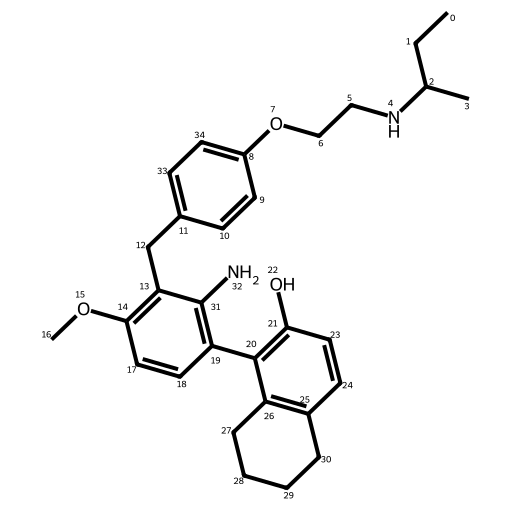 CCC(C)NCCOc1ccc(Cc2c(OC)ccc(-c3c(O)ccc4c3CCCC4)c2N)cc1